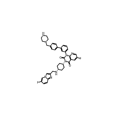 O=c1c2cc(F)cnc2n(-c2cccc(-c3ccc(CN4CCNCC4)cc3)c2)c(=O)n1[C@H]1CC[C@@H](NCc2cn3cc(F)ccc3n2)CC1